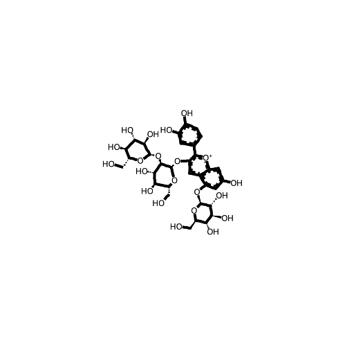 OC[C@H]1O[C@@H](Oc2cc(O)cc3[o+]c(-c4ccc(O)c(O)c4)c(O[C@@H]4O[C@H](CO)[C@@H](O)[C@H](O)[C@H]4O[C@@H]4O[C@H](CO)[C@@H](O)[C@H](O)[C@H]4O)cc23)[C@H](O)[C@@H](O)[C@@H]1O